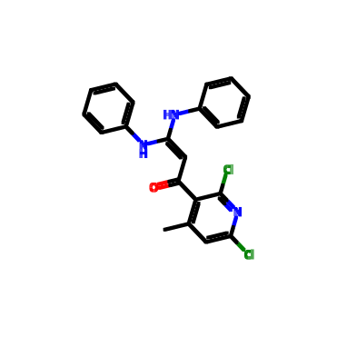 Cc1cc(Cl)nc(Cl)c1C(=O)C=C(Nc1ccccc1)Nc1ccccc1